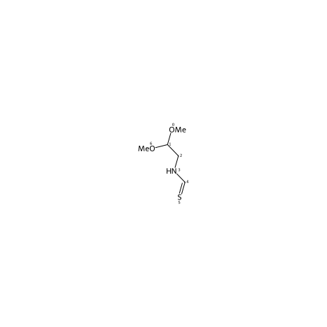 COC(CNC=S)OC